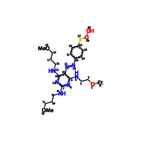 CCOCCNc1nc(NCCCOC)nc(NCCCOC)c1N=Nc1ccc(SOO)cc1